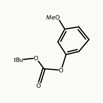 COc1[c]ccc(OC(=O)OC(C)(C)C)c1